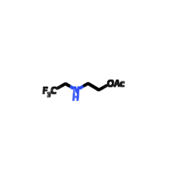 CC(=O)OCCNCC(F)(F)F